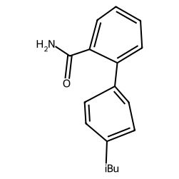 CCC(C)c1ccc(-c2ccccc2C(N)=O)cc1